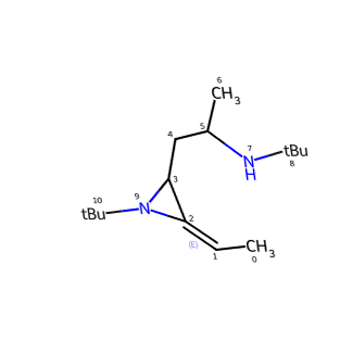 C/C=C1\C(CC(C)NC(C)(C)C)N1C(C)(C)C